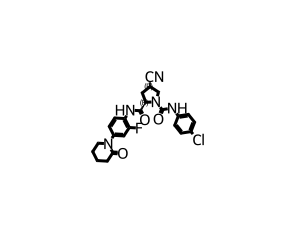 N#C[C@@H]1C[C@H](C(=O)Nc2ccc(N3CCCCC3=O)cc2F)N(C(=O)Nc2ccc(Cl)cc2)C1